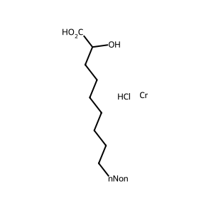 CCCCCCCCCCCCCCCCC(O)C(=O)O.Cl.[Cr]